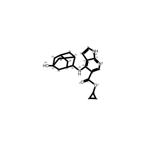 O=C(OC1CC1)c1cnc2[nH]ccc2c1NC1C2CC3CC1CC(O)(C3)C2